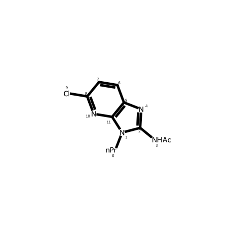 CCCn1c(NC(C)=O)nc2ccc(Cl)nc21